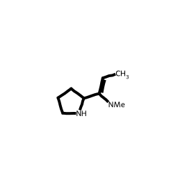 CC=C(NC)C1CCCN1